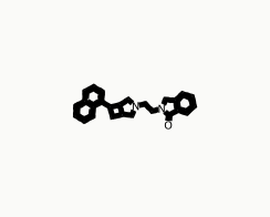 O=C1c2ccccc2CN1CCN1CC2CC(c3cccc4ccccc34)C2C1